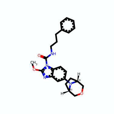 COc1nc2cc(N3[C@@H]4CC[C@H]3COC4)ccc2n1C(=O)NCCCc1ccccc1